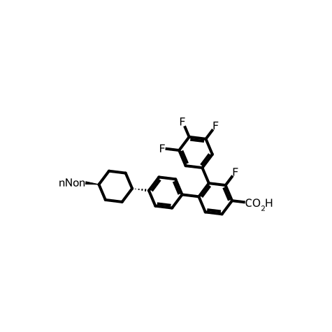 CCCCCCCCC[C@H]1CC[C@H](c2ccc(-c3ccc(C(=O)O)c(F)c3-c3cc(F)c(F)c(F)c3)cc2)CC1